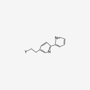 [Y][CH2]Cc1ccc(-c2ccccn2)nc1